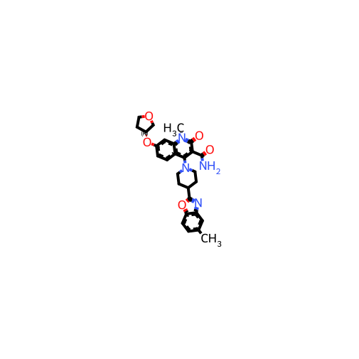 Cc1ccc2oc(C3CCN(c4c(C(N)=O)c(=O)n(C)c5cc(O[C@@H]6CCOC6)ccc45)CC3)nc2c1